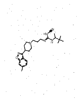 CC(NC(=NCCCN1CCC(c2noc3cc(F)ccc23)CC1)NC#N)C(C)(C)C